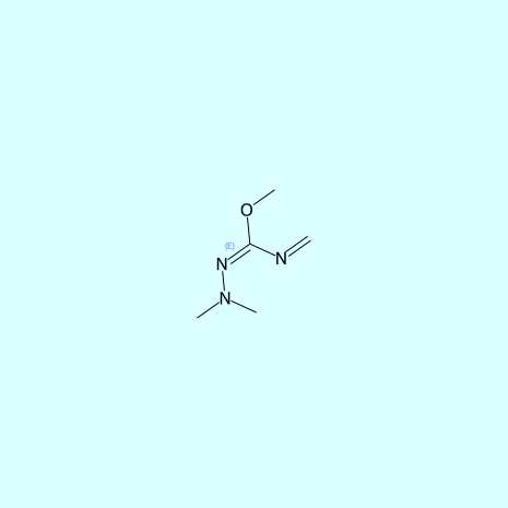 C=N/C(=N\N(C)C)OC